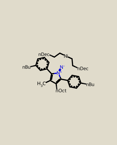 CCCCCCCCC1=C(c2ccc(CCCC)cc2)[N+](=[N-])C(c2cccc(CCCC)c2)=C1C.CCCCCCCCCCC[CH2][Ni][CH2]CCCCCCCCCCC